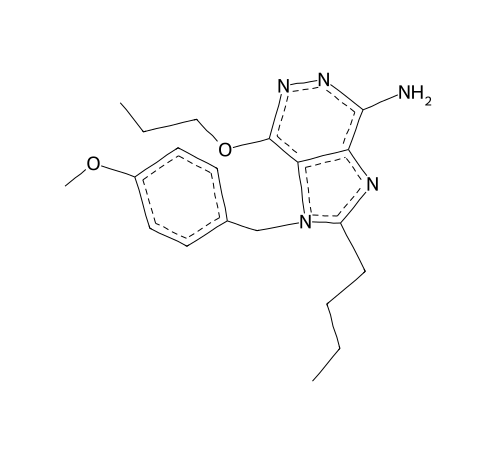 CCCCc1nc2c(N)nnc(OCCC)c2n1Cc1ccc(OC)cc1